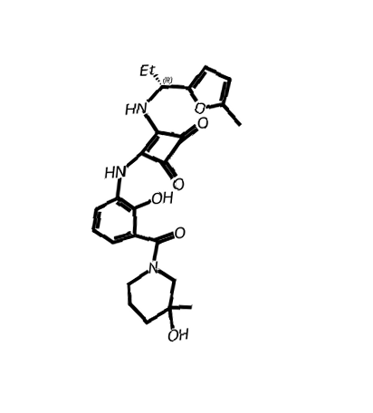 CC[C@@H](Nc1c(Nc2cccc(C(=O)N3CCCC(C)(O)C3)c2O)c(=O)c1=O)c1ccc(C)o1